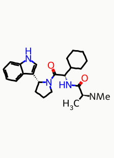 CN[C@@H](C)C(=O)N[C@H](C(=O)N1CCC[C@@H]1c1c[nH]c2ccccc12)C1CCCCC1